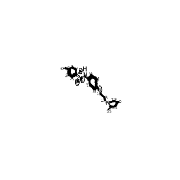 Cc1ccc(S(=O)(=O)ONc2ccc(OCCCN3CCC[C@H]3C)cc2)cc1